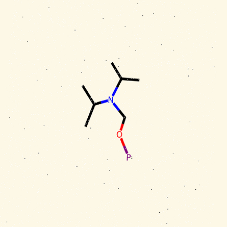 CC(C)N(CO[P])C(C)C